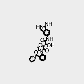 N=C1NCc2cc(NC(=O)C(O)[C@H]3OCCN(c4ccccc4C(=O)N4CCCC4)C3=O)ccc21